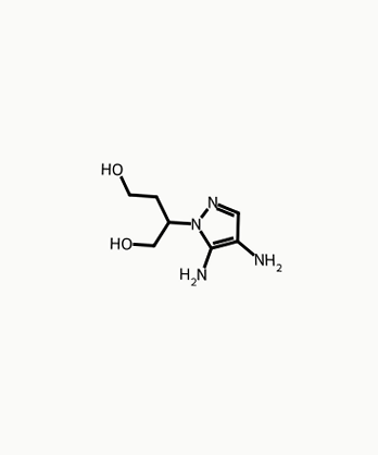 Nc1cnn(C(CO)CCO)c1N